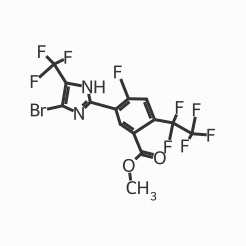 COC(=O)c1cc(-c2nc(Br)c(C(F)(F)F)[nH]2)c(F)cc1C(F)(F)C(F)(F)F